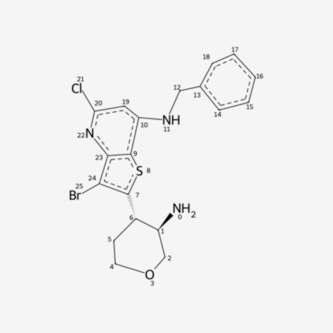 N[C@H]1COCC[C@@H]1c1sc2c(NCc3ccccc3)cc(Cl)nc2c1Br